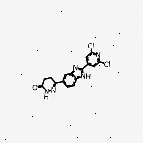 O=C1CCC(c2ccc3[nH]c(-c4cc(Cl)nc(Cl)c4)nc3c2)=NN1